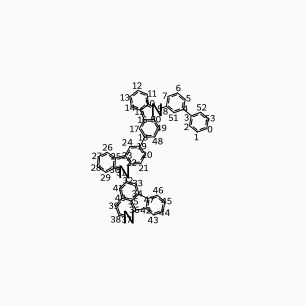 c1ccc(-c2cccc(-n3c4ccccc4c4cc(-c5ccc6c(c5)c5ccccc5n6-c5cc6c7c(nccc7c5)-c5ccccc5-6)ccc43)c2)cc1